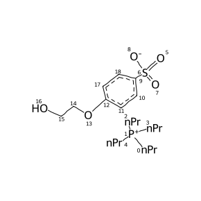 CCC[P+](CCC)(CCC)CCC.O=S(=O)([O-])c1ccc(OCCO)cc1